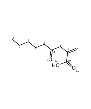 C=C(CC(=O)CCCCC)C(=O)O